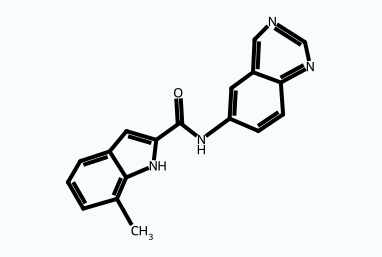 Cc1cccc2cc(C(=O)Nc3ccc4ncncc4c3)[nH]c12